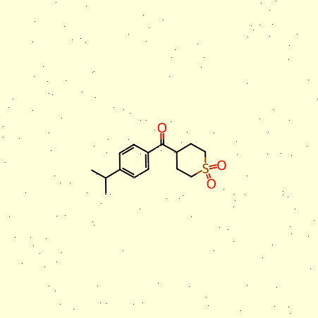 CC(C)c1ccc(C(=O)C2CCS(=O)(=O)CC2)cc1